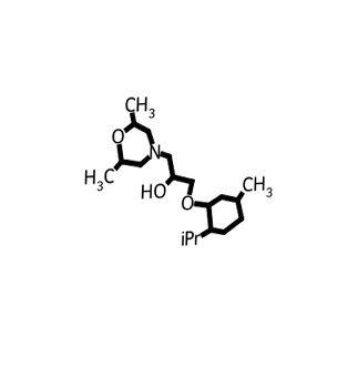 CC1CCC(C(C)C)C(OCC(O)CN2CC(C)OC(C)C2)C1